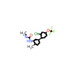 C=NC(=O)Nc1cc(-c2ccc(OC(F)(F)F)cc2Cl)ccc1C